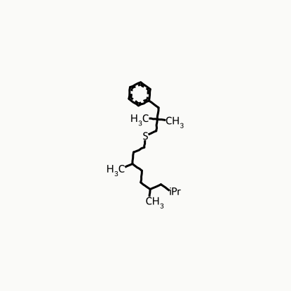 CC(C)CC(C)CCC(C)CCSCC(C)(C)Cc1ccccc1